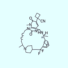 CC1CCCCn2c(=O)nc(c3cc(C4(C#N)CCC4)c(=O)n(C)c32)N[C@H](C)c2cccc(c2F)C(F)(F)C2CCN1CC2